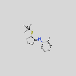 Cc1ccccc1/N=C1\CCCC1S[Si](C)(C)C